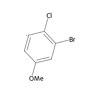 COc1c[c]c(Cl)c(Br)c1